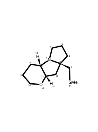 CSC[C@]12CCCN1[C@H]1CCCO[C@H]1C2